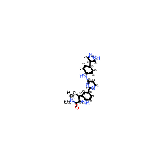 CCN(CC)C(=O)c1[nH]c2ccc(-c3nccc(Nc4ccc(-c5cn[nH]c5)cc4)n3)cc2c1C